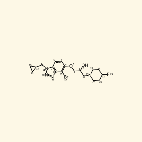 OC(COc1ccc2c(nnn2CC2CC2)c1Br)CN1CCC(F)CC1